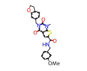 COc1cccc(CNC(=O)c2cc3c(=O)n(Cc4ccc5c(c4)OCC5)c(=O)n(C)c3s2)c1